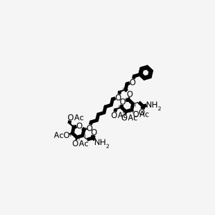 CC(=O)OC[C@H]1O[C@@H](OCCCCCCCOC[C@@H](COCc2ccccc2)O[C@@H]2O[C@H](COC(C)=O)[C@H](OC(C)=O)[C@H](OC(C)=O)[C@H]2CC(N)=O)[C@H](CC(N)=O)[C@@H](OC(C)=O)[C@H]1OC(C)=O